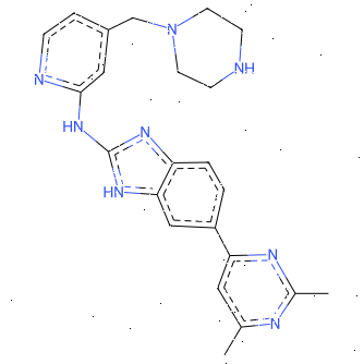 Cc1cc(-c2ccc3nc(Nc4cc(CN5CCNCC5)ccn4)[nH]c3c2)nc(C)n1